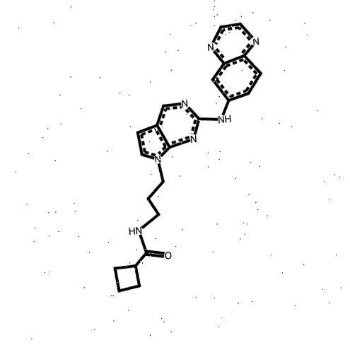 O=C(NCCCn1ccc2cnc(Nc3ccc4nccnc4c3)nc21)C1CCC1